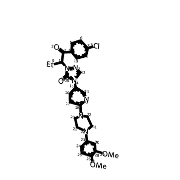 CCC(C(=O)c1ccc(Cl)cc1)n1ncn(-c2ccc(N3CCN(c4ccc(OC)c(OC)c4)CC3)nc2)c1=O